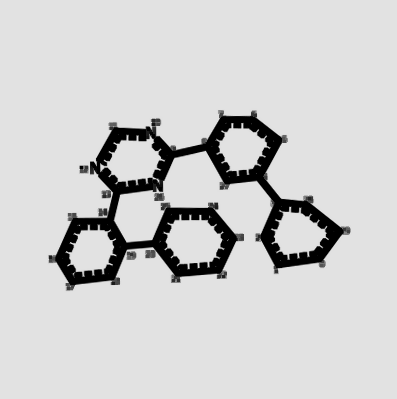 c1ccc(-c2cccc(-c3ncnc(-c4ccccc4-c4ccccc4)n3)c2)cc1